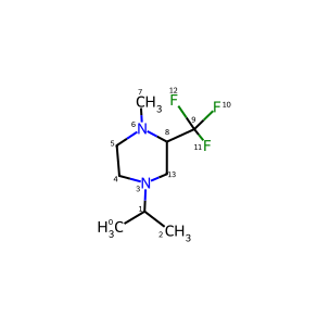 CC(C)N1CCN(C)C(C(F)(F)F)C1